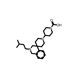 CC(C)CCN1Cc2ccccc2C2(CCN(C3CCN(C(=O)O)CC3)CC2)C1